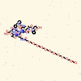 CCC(=O)N[C@@H](CN)C(=O)N[C@@H](CCCCNC(=O)CCOCCOCCOCCOCCOCCOCCOCCOCCOCCOCCOCCOC)C(=O)N[C@H](C(=O)N[C@@H](CCC(=O)O)C(=O)Nc1ccc(C[N+]2(C)CCCC[C@@H]2C(=O)N[C@H](C(=O)N(C)[C@H](C[C@@H](OC(C)=O)c2nc(C(=O)N[C@@H](Cc3ccccc3)C[C@H](C)C(=O)O)cs2)C(C)C)[C@@H](C)CC)cc1)C(C)C